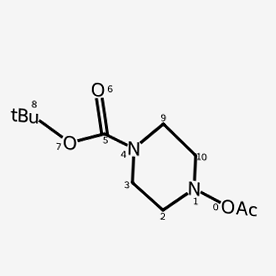 CC(=O)ON1CCN(C(=O)OC(C)(C)C)CC1